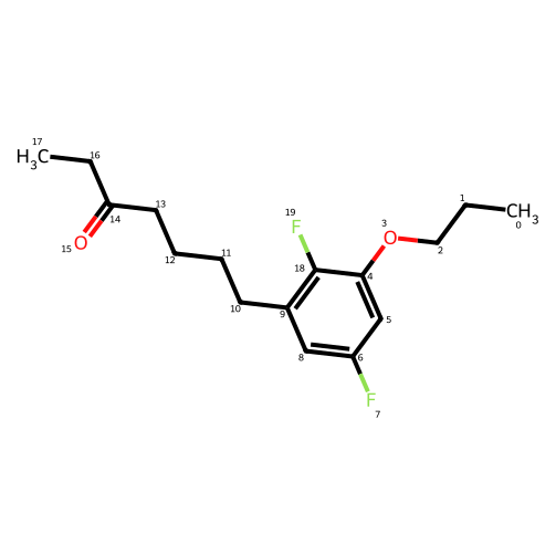 CCCOc1cc(F)cc(CCCCC(=O)CC)c1F